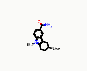 CNC1CCc2c(c3cc(C(N)=O)ccc3n2C(C)(C)C)C1